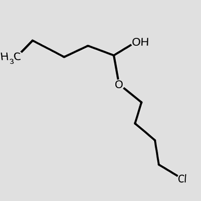 CCCCC(O)OCCCCCl